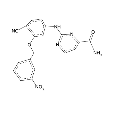 N#Cc1ccc(Nc2nccc(C(N)=O)n2)cc1OCc1cccc([N+](=O)[O-])c1